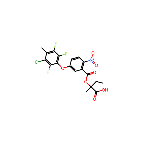 CCC(C)(OC(=O)c1cc(Oc2c(F)c(F)c(C)c(Cl)c2F)ccc1[N+](=O)[O-])C(=O)O